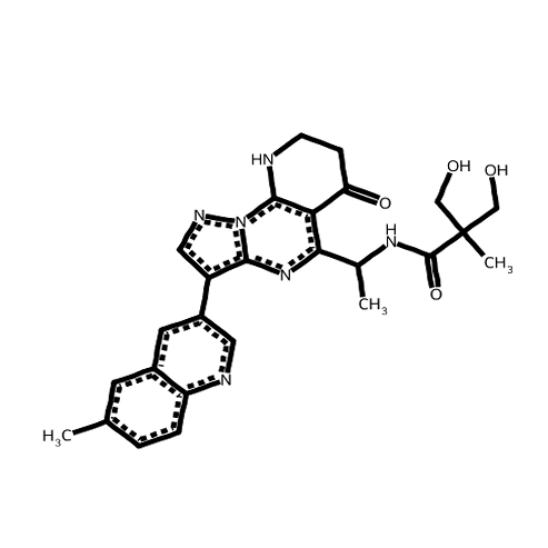 Cc1ccc2ncc(-c3cnn4c5c(c(C(C)NC(=O)C(C)(CO)CO)nc34)C(=O)CCN5)cc2c1